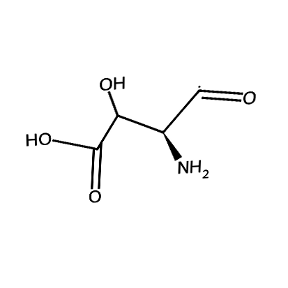 N[C@H]([C]=O)C(O)C(=O)O